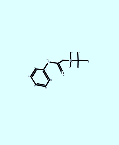 CC(C)(C)[Si](C)(C)CC(=O)Sc1ccccc1